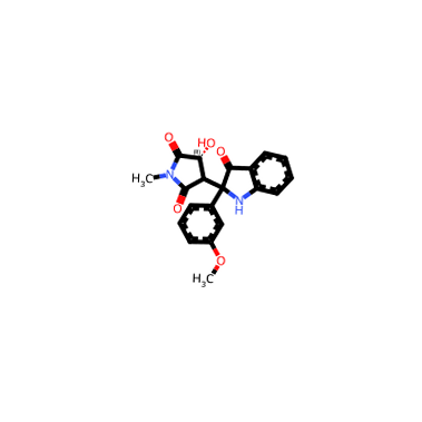 COc1cccc(C2(C3C(=O)N(C)C(=O)[C@@H]3O)Nc3ccccc3C2=O)c1